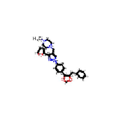 CN1CCN(Cc2cn(-c3ccc(C4=C(Cc5ccccc5)OCO4)cc3)nc2-c2ccco2)CC1